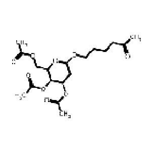 CC(=O)CCCCO[C@H]1C[C@@H](OC(C)=O)[C@@H](OC(C)=O)[C@@H](COC(C)=O)O1